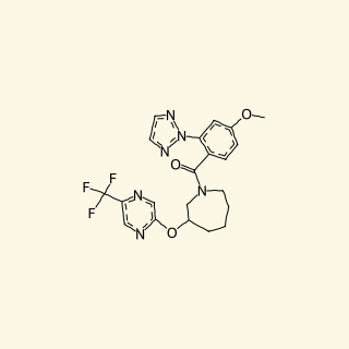 COc1ccc(C(=O)N2CCCCC(Oc3cnc(C(F)(F)F)cn3)C2)c(-n2nccn2)c1